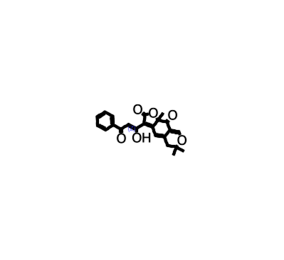 CC1(C)CC2=CC3=C(/C(O)=C/C(=O)c4ccccc4)C(=O)OC3(C)C(=O)C2=CO1